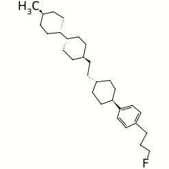 C[C@H]1CC[C@H]([C@H]2CC[C@H](CC[C@H]3CC[C@H](c4ccc(CCCF)cc4)CC3)CC2)CC1